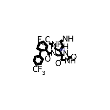 N=C/C=C(\CNCC(F)(F)F)C1(CNC(=O)c2ccccc2-c2ccc(C(F)(F)F)cc2)NC(=O)NC1=O